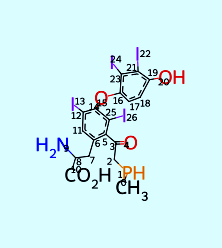 CPCC(=O)c1c(CC(N)C(=O)O)cc(I)c(Oc2ccc(O)c(I)c2I)c1I